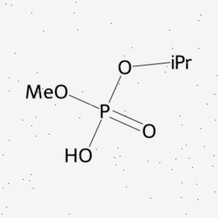 COP(=O)(O)OC(C)C